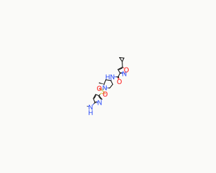 CNc1ccc(S(=O)(=O)N2CC[C@H](NC(=O)c3cc(C4CC4)on3)C[C@@H]2C)cn1